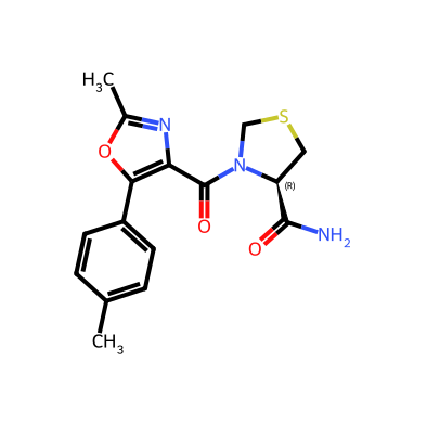 Cc1ccc(-c2oc(C)nc2C(=O)N2CSC[C@H]2C(N)=O)cc1